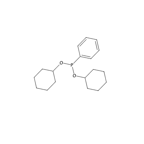 c1ccc(P(OC2CCCCC2)OC2CCCCC2)cc1